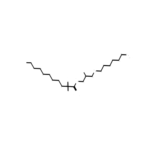 CCCCCCCCCC(C)(C)C(=O)OCC(O)CNCCCCCCN